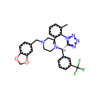 Cc1cccc(C)c1-n1nnnc1[C@H](c1cccc(C(F)(F)F)c1)N1CCN(Cc2ccc3c(c2)OCO3)CC1